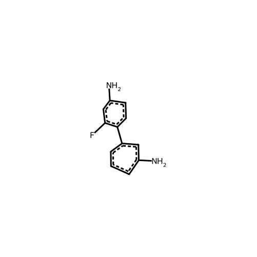 Nc1cccc(-c2ccc(N)cc2F)c1